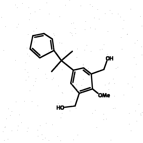 COc1c(CO)cc(C(C)(C)c2ccccc2)cc1CO